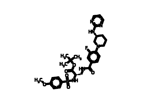 COc1ccc(S(=O)(=O)N[C@@H](CNC(=O)c2ccc(N3CCC[C@H](Nc4ncccn4)C3)c(F)c2)C(=O)OC(C)(C)C)cc1